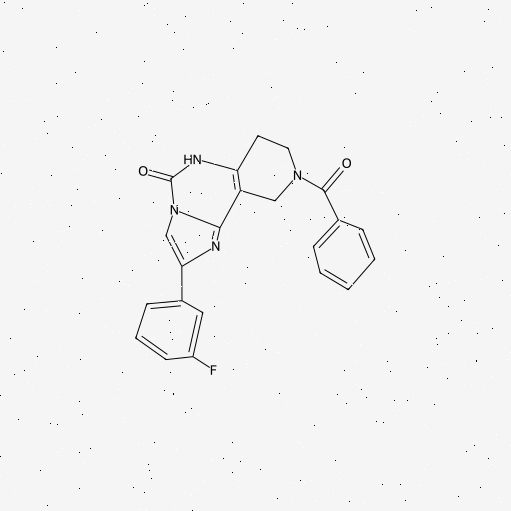 O=C(c1ccccc1)N1CCc2[nH]c(=O)n3cc(-c4cccc(F)c4)nc3c2C1